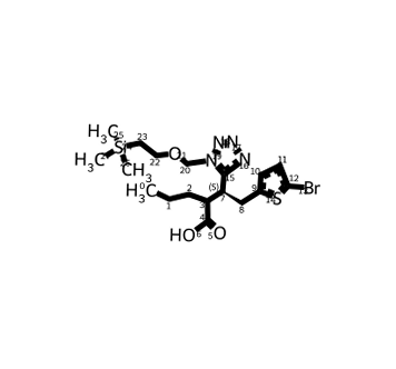 CCCC(C(=O)O)[C@H](Cc1ccc(Br)s1)c1nnnn1COCC[Si](C)(C)C